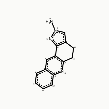 Nn1cc2c(n1)-c1cc3ccccc3nc1CC2